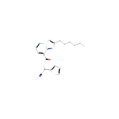 CCCCCCc1cn2cccc(C(=O)NC(C#N)c3cccs3)c2n1